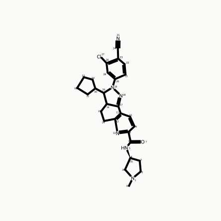 CN1CC[C@H](NC(=O)c2ccc3c(n2)CCC2C3=NN(c3ccc(C#N)c(Cl)c3)C2C2CCCC2)C1